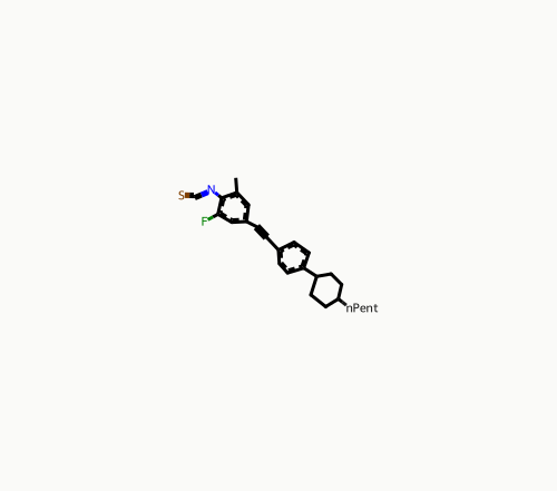 CCCCCC1CCC(c2ccc(C#Cc3cc(C)c(N=C=S)c(F)c3)cc2)CC1